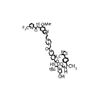 COc1cc2nn(CCN3CCN(CC(=O)N4CCC5(CCC(C(=O)N[C@H](C(=O)N6C[C@H](O)C[C@H]6C(=O)N[C@@H](C)c6ccc(-c7scnc7C)cc6)C(C)(C)C)CC5)CC4)CC3)cc2cc1NC(=O)c1cccc(C(F)(F)F)n1